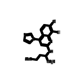 CSCCC(Nc1cc(-n2ccnc2)c2ccc(Cl)c(Cl)c2n1)C(=O)O